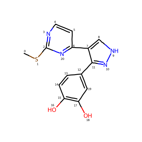 CSc1nccc(-c2c[nH]nc2-c2ccc(O)c(O)c2)n1